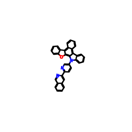 c1ccc2cc(-c3ccc(-n4c5ccccc5c5c6ccccc6c6c7ccccc7oc6c54)cn3)ncc2c1